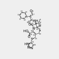 CO[C@@]1(NC(=O)C(=S=O)c2ccccc2)C(=O)N2C(C(=O)O)=C(CSc3cnn[nH]3)CS[C@@H]21